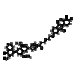 COc1cc(-c2cn(C)c(=O)c3cnccc23)cc(OC)c1CN(C)C1CC2CC1CN2C(=O)CCOCCOc1ccc2c(c1)C(=O)N(C1CCC(=O)NC1=O)C2=O